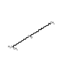 CCCCCCCCC=CCCCCCCCC(=O)OCCCCCCCCCCCCC(C)C